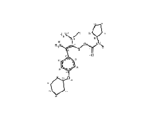 CN(N)/C(COC(=O)N(C)C1CCCC1)=C(\N)c1ccc(OC2CCCCC2)cc1